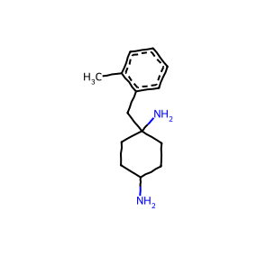 Cc1ccccc1CC1(N)CCC(N)CC1